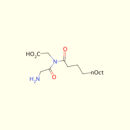 CCCCCCCCCCCC(=O)N(CC(=O)O)C(=O)CN